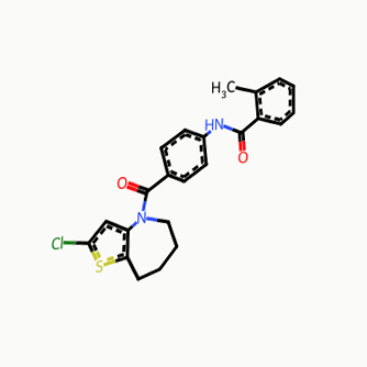 Cc1ccccc1C(=O)Nc1ccc(C(=O)N2CCCCc3sc(Cl)cc32)cc1